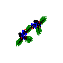 FC(F)(F)C(F)(F)C(F)(F)C(F)(F)COc1nc(OCC(F)(F)C(F)(F)C(F)(F)C(F)(F)F)nc(N(c2cnc(OCC(F)(F)C(F)(F)C(F)(F)C(F)(F)COc3ncc(N(c4nc(OCC(F)(F)C(F)(F)C(F)(F)C(F)(F)F)nc(OCC(F)(F)C(F)(F)C(F)(F)C(F)(F)F)n4)C45CC6CC(CC(C6)C4)C5)cn3)nc2)C23CC4CC(CC(C4)C2)C3)n1